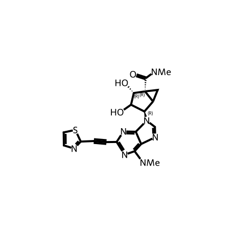 CNC(=O)[C@]12CC1[C@@H](n1cnc3c(NC)nc(C#Cc4nccs4)nc31)C(O)[C@@H]2O